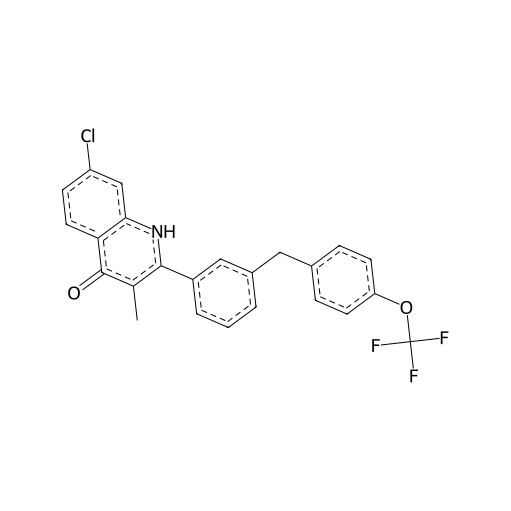 Cc1c(-c2cccc(Cc3ccc(OC(F)(F)F)cc3)c2)[nH]c2cc(Cl)ccc2c1=O